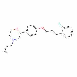 CCCN1CCOC(c2ccc(OCCCc3ccccc3F)cc2)C1